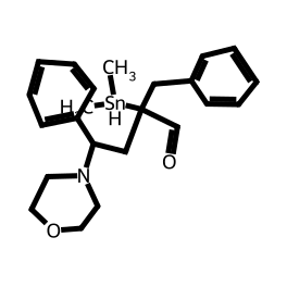 [CH3][SnH]([CH3])[C](C=O)(Cc1ccccc1)CC(c1ccccc1)N1CCOCC1